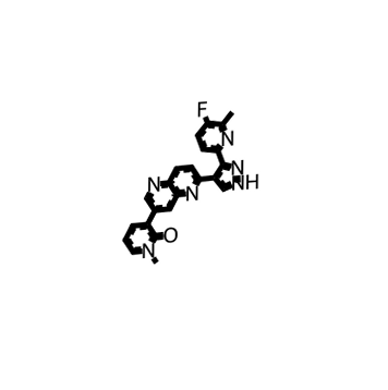 Cc1nc(-c2n[nH]cc2-c2ccc3ncc(-c4cccn(C)c4=O)cc3n2)ccc1F